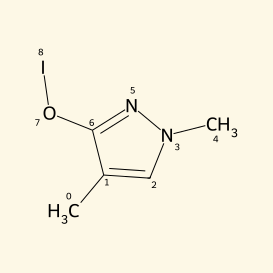 Cc1cn(C)nc1OI